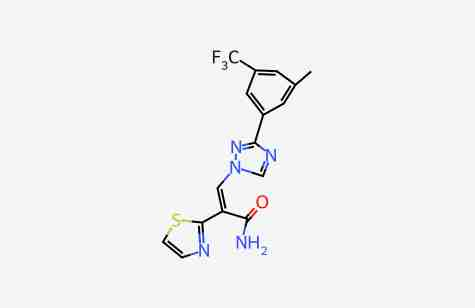 Cc1cc(-c2ncn(/C=C(\C(N)=O)c3nccs3)n2)cc(C(F)(F)F)c1